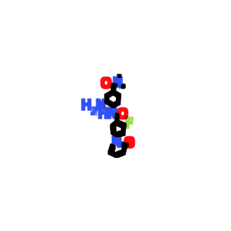 CN(C)C(=O)C1CCC(NC(=O)c2ccc(-n3ccccc3=O)cc2F)C(N)C1